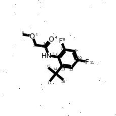 COCC(=O)Nc1c(F)cc(F)cc1C(C)(C)C